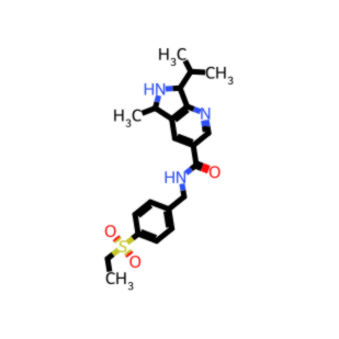 CCS(=O)(=O)c1ccc(CNC(=O)c2cnc3c(c2)C(C)NC3C(C)C)cc1